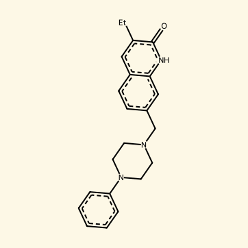 CCc1cc2ccc(CN3CCN(c4ccccc4)CC3)cc2[nH]c1=O